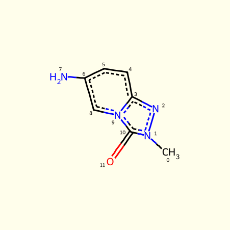 Cn1nc2ccc(N)cn2c1=O